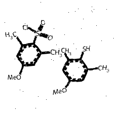 COc1cc(C)c(S(=O)(=O)Cl)c(C)c1.COc1cc(C)c(S)c(C)c1